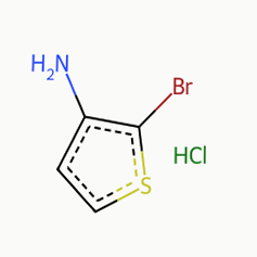 Cl.Nc1ccsc1Br